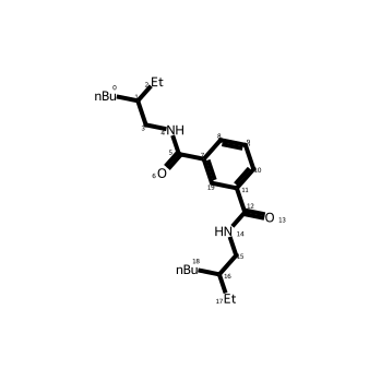 CCCCC(CC)CNC(=O)c1c[c]cc(C(=O)NCC(CC)CCCC)c1